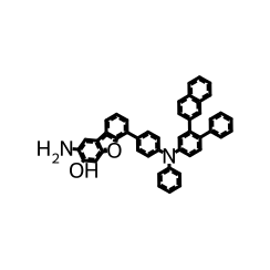 Nc1cc2c(cc1O)oc1c(-c3ccc(N(c4ccccc4)c4ccc(-c5ccccc5)c(-c5ccc6ccccc6c5)c4)cc3)cccc12